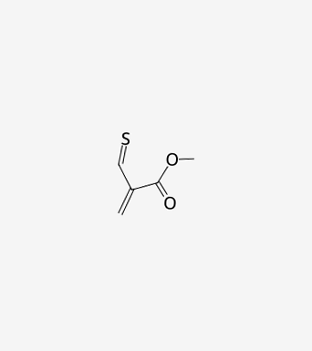 C=C(C=S)C(=O)OC